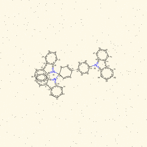 C1=CC(n2c3ccccc3c3ccccc32)(n2c3ccccc3c3ccccc32)CC=C1c1ccc(-n2c3ccccc3c3ccccc32)cc1